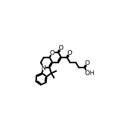 CC1(C)C2=C3C=C(C(=O)CCCC(=O)O)C(=O)OC3CCN2c2ccccc21